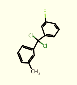 Cc1cccc(C(Cl)(Cl)c2cccc(F)c2)c1